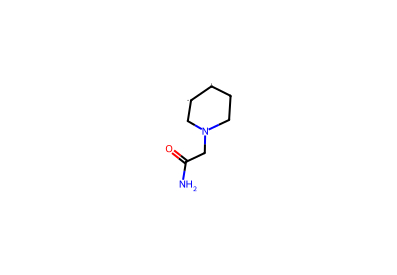 NC(=O)CN1C[CH][CH]CC1